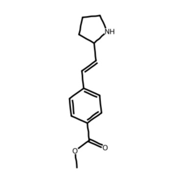 COC(=O)c1ccc(C=CC2CCCN2)cc1